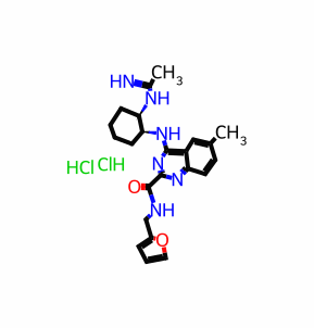 CC(=N)N[C@@H]1CCCC[C@@H]1Nc1nc(C(=O)NCc2ccco2)nc2ccc(C)cc12.Cl.Cl